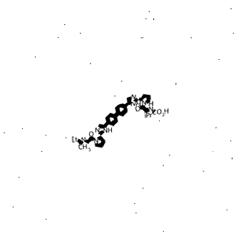 CCC(C)=NCC(=O)N1CCC[C@H]1c1ncc(-c2ccc(-c3ccc(-c4cnc([C@@H]5CCCN5C(=O)[C@@H](NC(=O)O)C(C)C)[nH]4)cc3)cc2)[nH]1